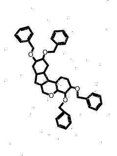 c1ccc(COC2CC3CC4COC5C(CCC(OCc6ccccc6)C5OCc5ccccc5)C4C3CC2OCc2ccccc2)cc1